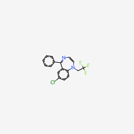 FC(F)(F)CN1C=CN=C(c2ccccc2)c2cc(Cl)ccc21